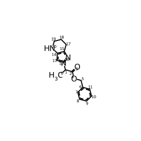 CC(C(=O)OCc1ccccc1)n1cc2c(n1)CCCN2